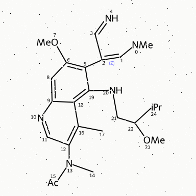 CN/C=C(\C=N)c1c(OC)cc2ncc(N(C)C(C)=O)c(C)c2c1NCC(OC)C(C)C